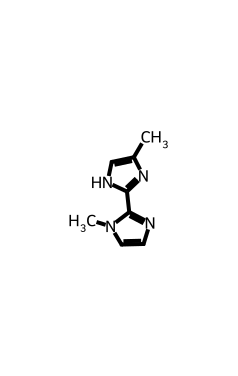 Cc1c[nH]c(-c2nccn2C)n1